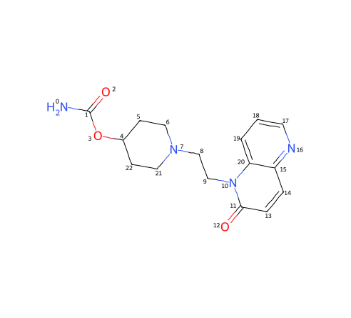 NC(=O)OC1CCN(CCn2c(=O)ccc3ncccc32)CC1